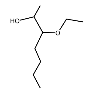 CCCCC(OCC)C(C)O